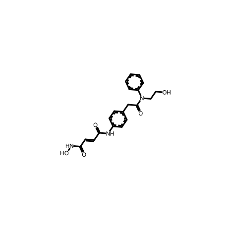 O=C(/C=C/C(=O)Nc1ccc(CC(=O)N(CCO)c2ccccc2)cc1)NO